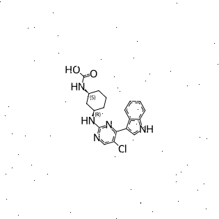 O=C(O)N[C@H]1CCC[C@@H](Nc2ncc(Cl)c(-c3c[nH]c4ccccc34)n2)C1